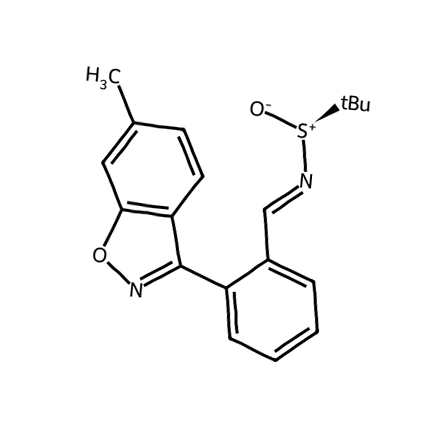 Cc1ccc2c(-c3ccccc3/C=N/[S@@+]([O-])C(C)(C)C)noc2c1